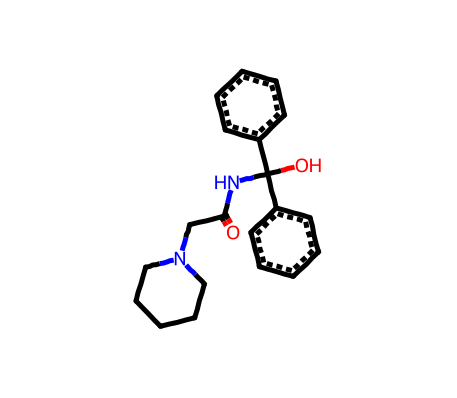 O=C(CN1CCCCC1)NC(O)(c1ccccc1)c1ccccc1